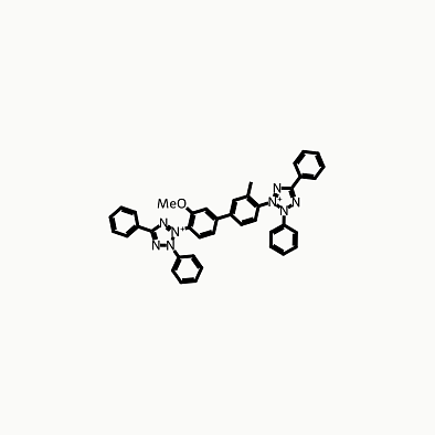 COc1cc(-c2ccc(-[n+]3nc(-c4ccccc4)nn3-c3ccccc3)c(C)c2)ccc1-[n+]1nc(-c2ccccc2)nn1-c1ccccc1